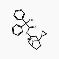 CN1C2CCC1(C1CC1)CC(OC(=O)C(C)(c1ccccc1)c1ccccc1)C2